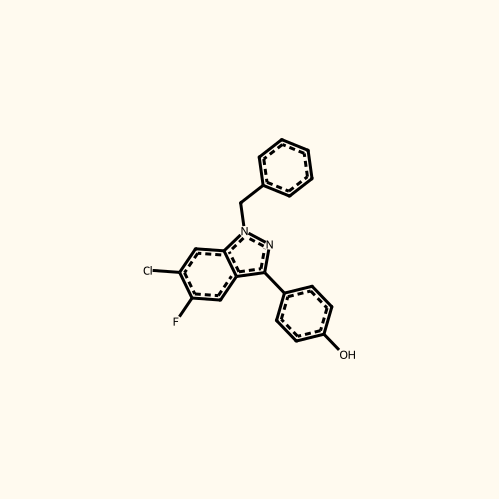 Oc1ccc(-c2nn(Cc3ccccc3)c3cc(Cl)c(F)cc23)cc1